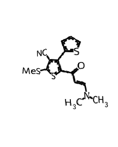 CSc1sc(C(=O)/C=C/N(C)C)c(-c2cccs2)c1C#N